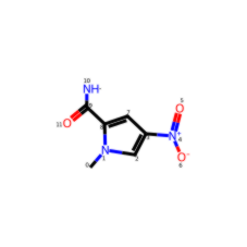 Cn1cc([N+](=O)[O-])cc1C([NH])=O